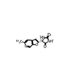 Cc1cc2cc([C@@H]3NC(=O)NC3=O)oc2cn1